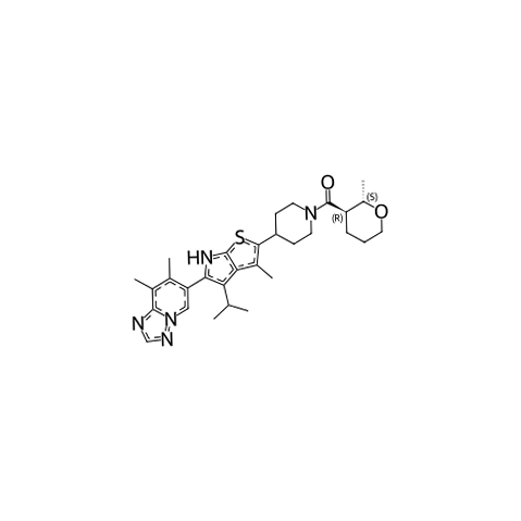 Cc1c(-c2[nH]c3sc(C4CCN(C(=O)[C@@H]5CCCO[C@H]5C)CC4)c(C)c3c2C(C)C)cn2ncnc2c1C